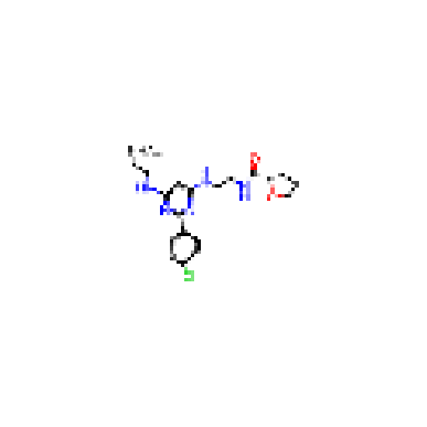 CC(=O)NCCNc1cc(NCCNC(=O)C2CCCO2)nc(-c2ccc(Cl)cc2)n1